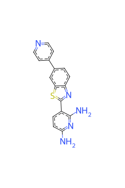 Nc1ccc(-c2nc3ccc(-c4ccncc4)cc3s2)c(N)n1